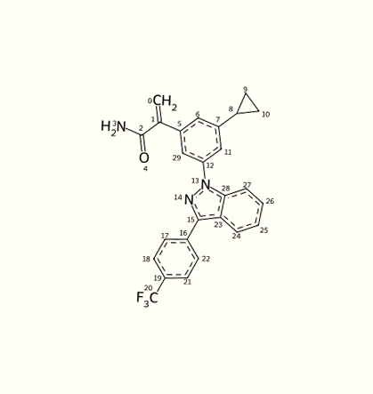 C=C(C(N)=O)c1cc(C2CC2)cc(-n2nc(-c3ccc(C(F)(F)F)cc3)c3ccccc32)c1